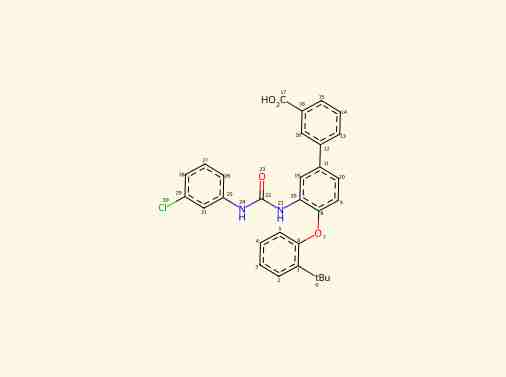 CC(C)(C)c1ccccc1Oc1ccc(-c2cccc(C(=O)O)c2)cc1NC(=O)Nc1cccc(Cl)c1